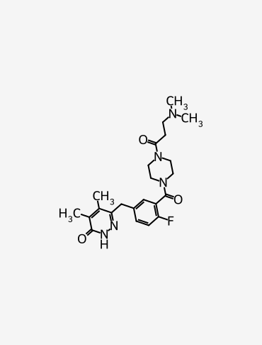 Cc1c(Cc2ccc(F)c(C(=O)N3CCN(C(=O)CCN(C)C)CC3)c2)n[nH]c(=O)c1C